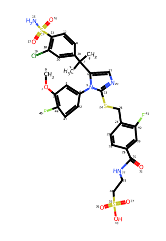 COc1cc(-n2c(C(C)(C)c3ccc(S(N)(=O)=O)c(Cl)c3)cnc2SCc2ccc(C(=O)NCCS(=O)(=O)O)cc2F)ccc1F